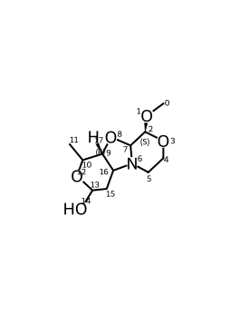 CO[C@H]1OCCN2C1O[C@H]1C(C)OC(O)CC12